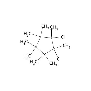 CC1(C)C(C)(C)C(C)(Cl)[C@@](C)(Cl)C1(C)C